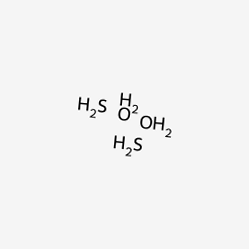 O.O.S.S